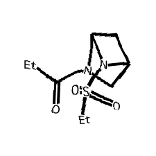 CCC(=O)N1CC2CC1N2S(=O)(=O)CC